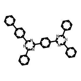 c1ccc(-c2ccc(-c3nc(-c4ccccc4)nc(-c4ccc(-c5nc(-c6ccccc6)nc(-c6ccccc6)n5)cc4)n3)cc2)cc1